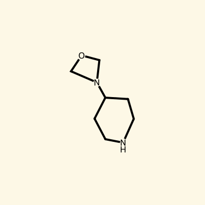 C1CC(N2COC2)CCN1